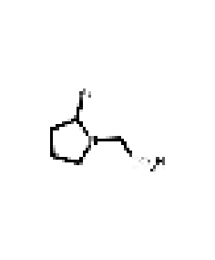 CC(=O)C1CCCN1CC(=O)O